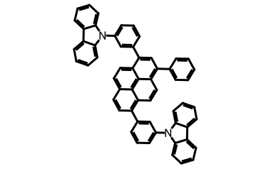 c1ccc(-c2cc(-c3cccc(-n4c5ccccc5c5ccccc54)c3)c3ccc4ccc(-c5cccc(-n6c7ccccc7c7ccccc76)c5)c5ccc2c3c45)cc1